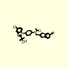 CC(=O)N(CC1Cc2ccc(C#N)cc2C1)C1CCC(n2c(C(C)(C)O)nc3cc(Cl)ccc32)CC1